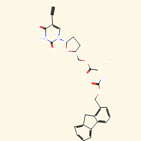 C#Cc1cn([C@H]2C[C@H](F)[C@@H](COC(=O)[C@@H](NC(=O)OCc3cccc4c3Cc3ccccc3-4)[C@@H](C)CC)O2)c(=O)[nH]c1=O